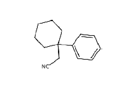 N#CCC1(c2cc[c]cc2)CCCCC1